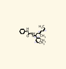 C/C=C\C=C(/C)CC(=N\NC(=O)Nc1ccccc1)/C(/C=C\C)=C/C